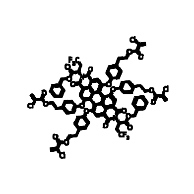 C=C(Cl)C(=O)OCCc1ccc(Oc2cc3c4c(cc(Oc5ccc(CCOC(=O)C(=C)Cl)cc5)c5c6c(Oc7ccc(CCOC(=O)C(=C)Cl)cc7)cc7c8c(cc(Oc9ccc(CCOC(=O)C(=C)Cl)cc9)c(c2c45)c86)C(=O)N(C(CC(F)(F)F)C(=O)OCc2ccccc2)C7=O)C(=O)N(C(CC(F)(F)F)C(=O)OCc2ccccc2)C3=O)cc1